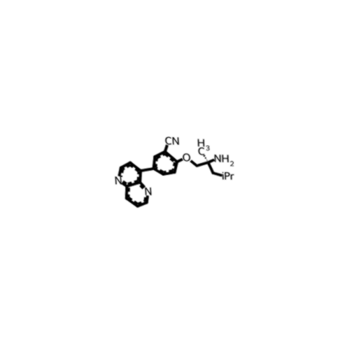 CC(C)C[C@](C)(N)COc1ccc(-c2ccnc3cccnc23)cc1C#N